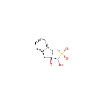 O=S(=O)(O)C(O)C1(O)Cc2ccccc2C1